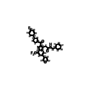 O=C(Cc1c(C(=O)N2CCC(c3ccc(F)cc3)C2)nc2c(C(F)(F)F)cc(-c3ccoc3)cn12)NCc1ccccc1